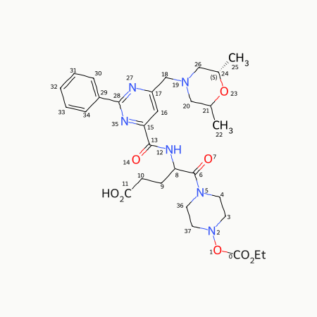 CCOC(=O)ON1CCN(C(=O)C(CCC(=O)O)NC(=O)c2cc(CN3CC(C)O[C@@H](C)C3)nc(-c3ccccc3)n2)CC1